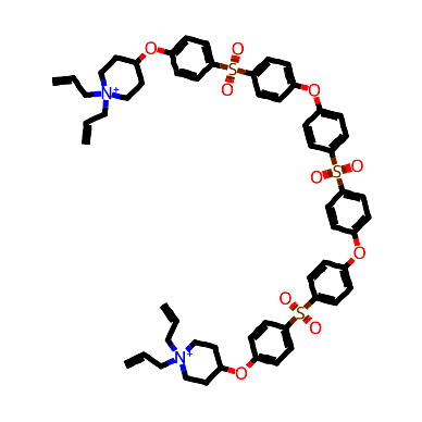 C=CC[N+]1(CC=C)CCC(Oc2ccc(S(=O)(=O)c3ccc(Oc4ccc(S(=O)(=O)c5ccc(Oc6ccc(S(=O)(=O)c7ccc(OC8CC[N+](CC=C)(CC=C)CC8)cc7)cc6)cc5)cc4)cc3)cc2)CC1